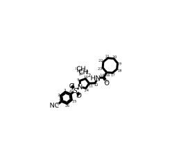 N#Cc1ccc(S(=O)(=O)N2CCC(CNC(=O)[C]3CCCCCCC3)C2)cc1.[CH2].[CH2]